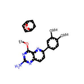 CCOc1nc(N)nc2ccc(-c3ccc(OC)c(OC)c3)nc12.c1cc2ccc1o2